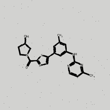 Cc1cc(Nc2nccc(C(F)(F)F)n2)cc(-c2cnc(C(=O)N3CCC(O)C3)s2)c1